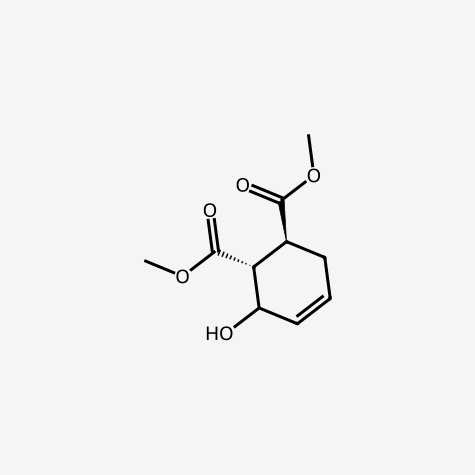 COC(=O)[C@H]1CC=CC(O)[C@@H]1C(=O)OC